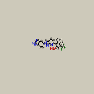 Cc1cc(C(F)(F)F)cc(O)c1-c1ccc2cn([C@H]3CCc4[nH]cnc4C3)nc2n1